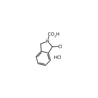 Cl.O=C(O)N1Cc2ccccc2C1Cl